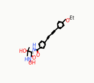 CCOCc1ccc(C#CC#Cc2ccc(C(=O)N[C@H](C(=O)NO)C(C)(C)O)cc2)cc1